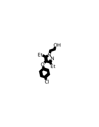 CCc1nn(CCO)c(CC)c1Oc1ccc(Cl)cc1